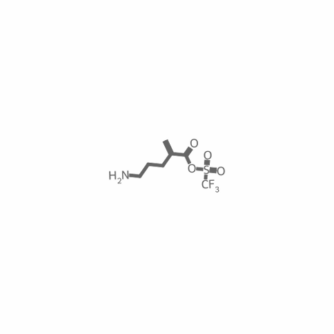 C=C(CCCN)C(=O)OS(=O)(=O)C(F)(F)F